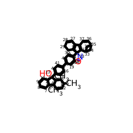 CC1C=CC2C3(C)C=CC=CC3C(O)(c3ccc(-c4ccc(C5(N=O)C6=C(C=CCC6)C6=C5C5CC(C=C6)C5)cc4)cc3)C2(C)C1